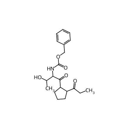 CCC(=O)C1CCCC1C(=O)C(NC(=O)OCc1ccccc1)C(C)O